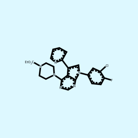 CCOC(=O)N1CCN(c2ncnc3c2c(-c2ccccn2)cn3-c2ccc(F)c(Cl)c2)CC1